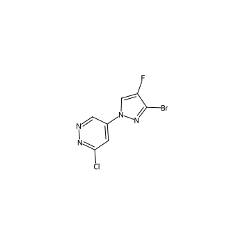 Fc1cn(-c2cnnc(Cl)c2)nc1Br